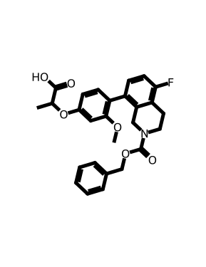 COc1cc(OC(C)C(=O)O)ccc1-c1ccc(F)c2c1CN(C(=O)OCc1ccccc1)CC2